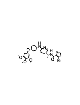 COc1cc(Oc2ccc(Nc3ncc(C(C)NC(=O)c4sccc4Br)nn3)cc2)cc(OC)c1OC